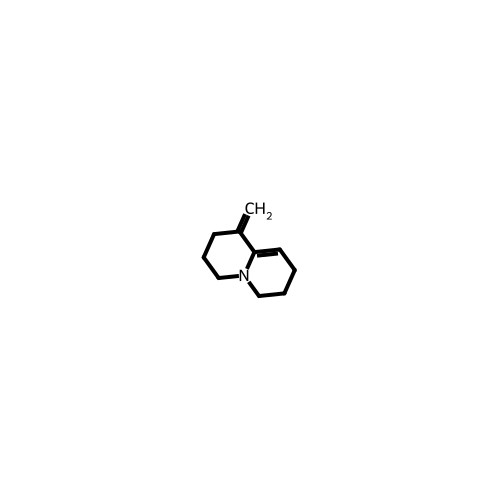 C=C1CCCN2CCCC=C12